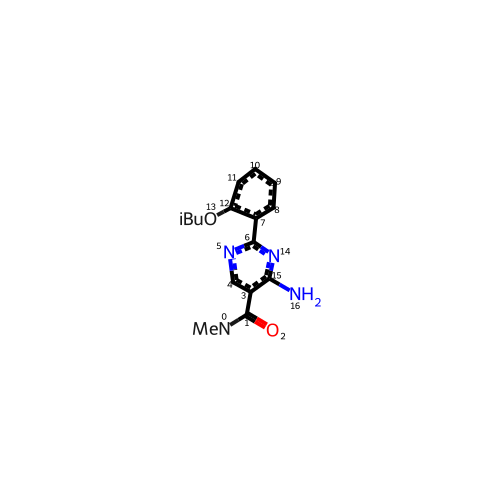 CNC(=O)c1cnc(-c2ccccc2OCC(C)C)nc1N